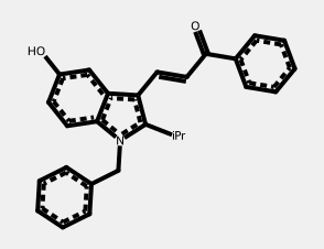 CC(C)c1c(/C=C/C(=O)c2ccccc2)c2cc(O)ccc2n1Cc1ccccc1